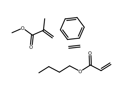 C=C.C=C(C)C(=O)OC.C=CC(=O)OCCCC.c1ccccc1